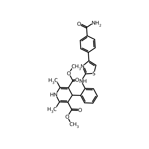 COC(=O)C1=C(C)NC(C)=C(C(=O)OC)C1c1ccccc1Nc1nc(-c2ccc(C(N)=O)cc2)cs1